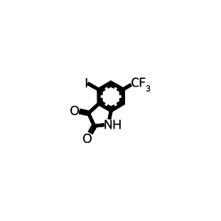 O=C1Nc2cc(C(F)(F)F)cc(I)c2C1=O